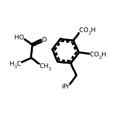 CC(C)C(=O)O.CC(C)Cc1cccc(C(=O)O)c1C(=O)O